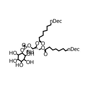 CCCCCCCCCCCCCCCCC(=O)OC[C@H](COP(=O)(O)OC1C(O)C(O)C(O)C(O)C1O)OC(=O)CCCCCCCCCCCCCCCC